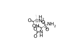 C[C@H](N)C(=O)O.NS(=O)(=O)c1coc(=O)[nH]1